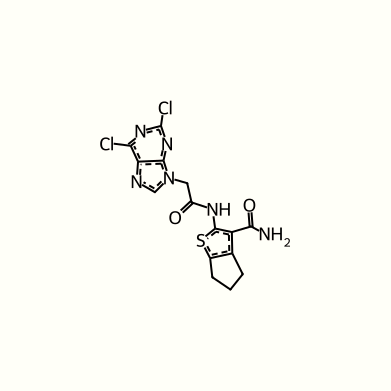 NC(=O)c1c(NC(=O)Cn2cnc3c(Cl)nc(Cl)nc32)sc2c1CCC2